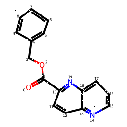 O=C(OCc1ccccc1)c1ccc2ncccc2n1